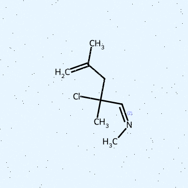 C=C(C)CC(C)(Cl)/C=N\C